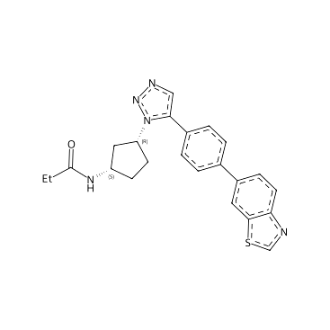 CCC(=O)N[C@H]1CC[C@@H](n2nncc2-c2ccc(-c3ccc4ncsc4c3)cc2)C1